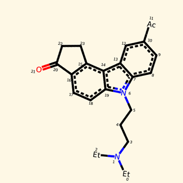 CCN(CC)CCCn1c2ccc(C(C)=O)cc2c2c3c(ccc21)C(=O)CC3